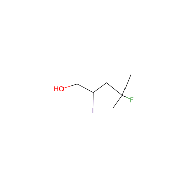 CC(C)(F)CC(I)CO